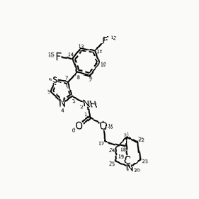 O=C(Nc1ncsc1-c1ccc(F)cc1F)OCC1CN2CCC1CC2